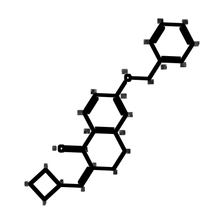 O=C1C(=CC2CCC2)CCc2cc(OCc3ccccc3)ccc21